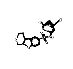 O=S(=O)(Nc1cc(Cl)cc(Cl)c1)c1ccc2c(c1)C1CCNCC1O2